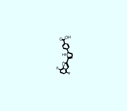 O=C(O)c1ccc(-c2ccc(-c3cc4c(F)ccc(F)c4o3)[nH]2)cc1